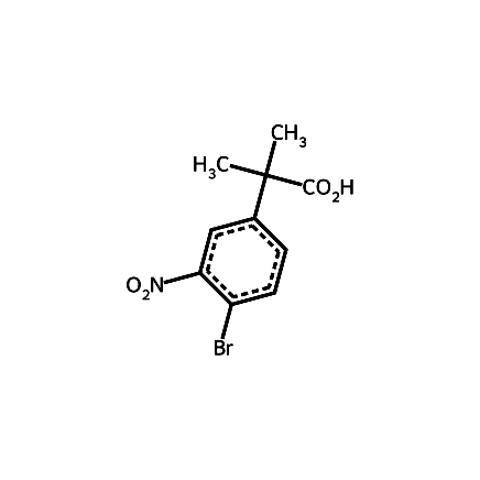 CC(C)(C(=O)O)c1ccc(Br)c([N+](=O)[O-])c1